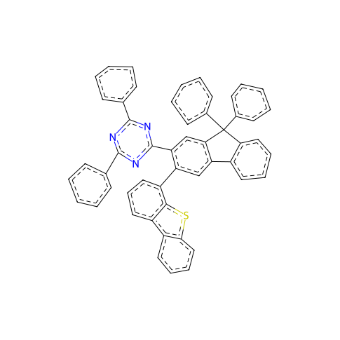 c1ccc(-c2nc(-c3ccccc3)nc(-c3cc4c(cc3-c3cccc5c3sc3ccccc35)-c3ccccc3C4(c3ccccc3)c3ccccc3)n2)cc1